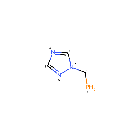 PCn1cncn1